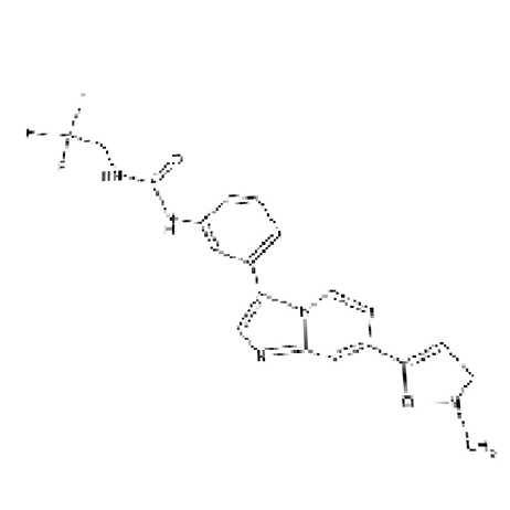 CN1CC=C(c2ccn3c(-c4cccc(NC(=O)NCC(F)(F)F)c4)cnc3c2)O1